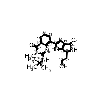 Cn1c(NC(C)(C)C)nc2c(-c3cc4c([nH]3)C(CCO)NC4=O)cccc2c1=O